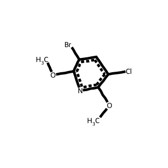 COc1nc(OC)c(Br)cc1Cl